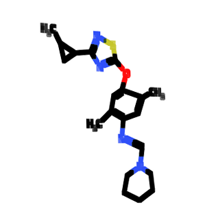 Cc1cc(Oc2nc(C3CC3C)ns2)c(C)cc1N=CN1CCCCC1